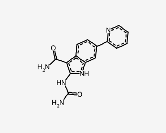 NC(=O)Nc1[nH]c2cc(-c3ccccn3)ccc2c1C(N)=O